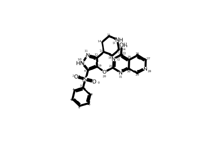 O=S(=O)(c1ccccc1)c1[nH]nc(C2CCNCC2)c1Oc1nc(O)c2ccncc2n1